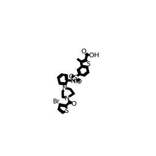 Cc1c(C(=O)O)sc2ccc(S(=O)(=O)Nc3ccccc3N3CCN(C(=O)c4sccc4Br)CC3)cc12